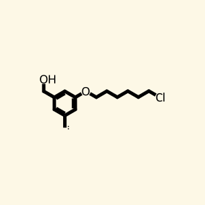 [CH]c1cc(CO)cc(OCCCCCCCl)c1